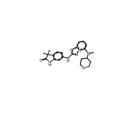 CN(c1cccc2nc(Nc3ccc4c(c3)NC(=O)C4(C)C)nn12)C1CCOCC1